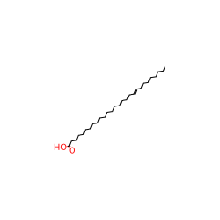 CCCCCCCCC=CCCCCCCCCCCCCCCCCCC(=O)O